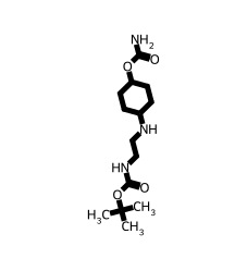 CC(C)(C)OC(=O)NCCNC1CCC(OC(N)=O)CC1